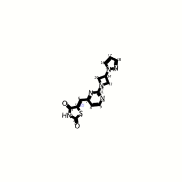 O=C1NC(=O)/C(=C/c2ccnc(N3CC(n4cccn4)C3)n2)S1